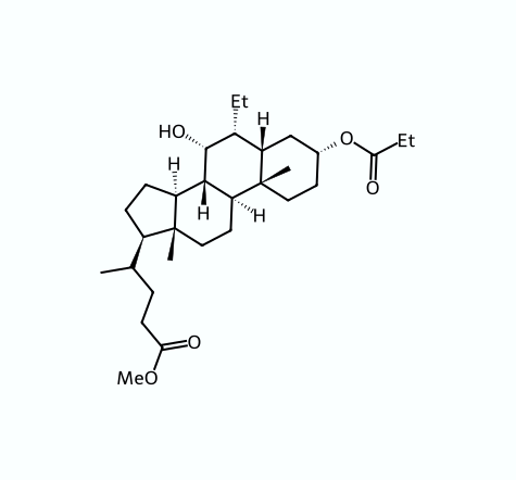 CCC(=O)O[C@@H]1CC[C@@]2(C)[C@@H](C1)[C@@H](CC)[C@@H](O)[C@@H]1[C@@H]2CC[C@]2(C)[C@@H](C(C)CCC(=O)OC)CC[C@@H]12